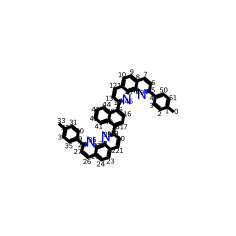 Cc1ccc(-c2ccc3ccc4ccc(-c5ccc(-c6ccc7ccc8ccc(-c9ccc(C)cc9)nc8c7n6)c6ccccc56)nc4c3n2)cc1